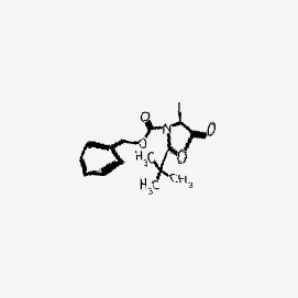 CC(C)(C)[C@@H]1OC(=O)[C@H](I)N1C(=O)OCc1ccccc1